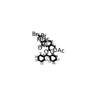 CC(=O)OCC1=C(C(=O)OC(c2ccccc2)c2ccccc2)N2C(=O)C(N=C(Br)Br)[C@@H]2SC1